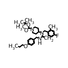 C=C(NCc1ccc(OCCC)cc1)N(Cc1ccc(F)cc1C)C1CCN(C(=O)OC(C)(C)C)CC1